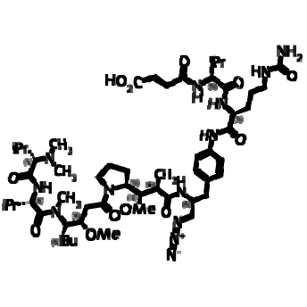 CC[C@H](C)C([C@@H](CC(=O)N1CCC[C@H]1[C@H](OC)[C@@H](C)C(=O)N[C@H](CN=[N+]=[N-])Cc1ccc(NC(=O)[C@H](CCCNC(N)=O)NC(=O)[C@@H](NC(=O)CCC(=O)O)C(C)C)cc1)OC)N(C)C(=O)[C@@H](NC(=O)[C@H](C(C)C)N(C)C)C(C)C